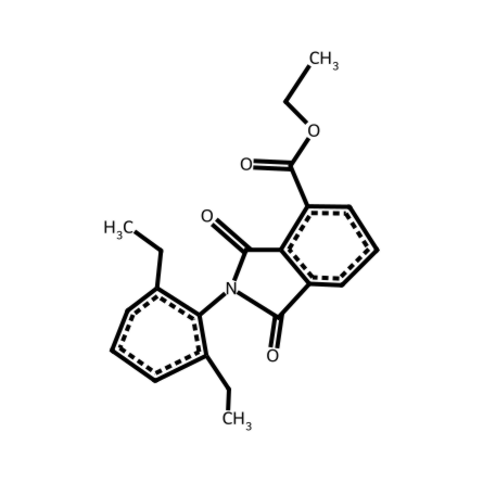 CCOC(=O)c1cccc2c1C(=O)N(c1c(CC)cccc1CC)C2=O